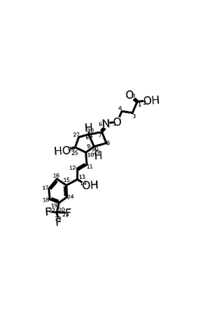 O=C(O)CCON=C1C[C@H]2C(C=CC(O)c3cccc(C(F)(F)F)c3)C(O)C[C@H]12